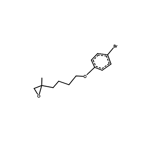 CC1(CCCCOc2ccc(Br)cc2)CO1